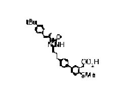 CSc1ccc(-c2ccc(CCCc3nn(C(C)Cc4ccc(C(C)(C)C)cc4)c(=O)[nH]3)cc2)cc1CC(=O)O